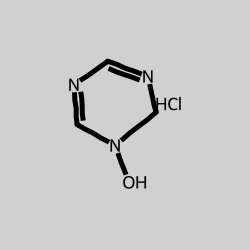 Cl.ON1C=NC=NC1